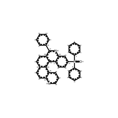 O=P(c1ccccc1)(c1ccccc1)c1ccc2c(c1)nc(-c1ccccc1)c1ccc3ccc4ncccc4c3c12